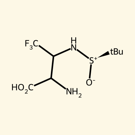 CC(C)(C)[S@@+]([O-])NC(C(N)C(=O)O)C(F)(F)F